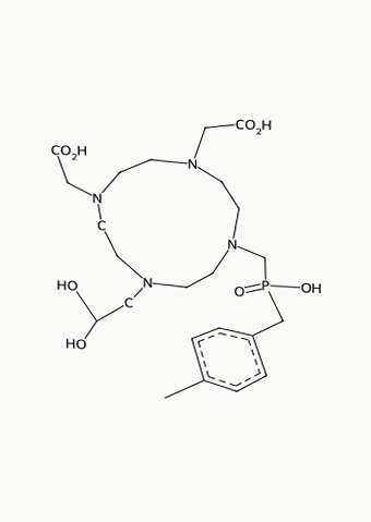 Cc1ccc(CP(=O)(O)CN2CCN(CC(=O)O)CCN(CC(=O)O)CCN(CC(O)O)CC2)cc1